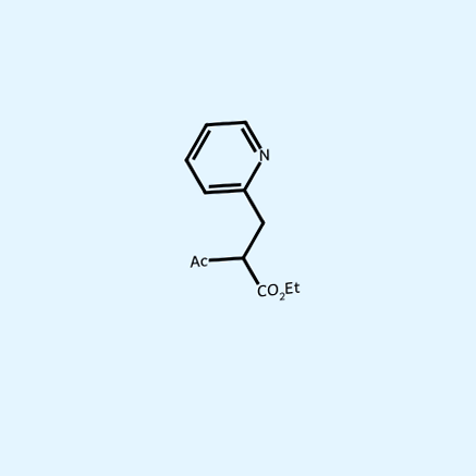 CCOC(=O)C(Cc1ccccn1)C(C)=O